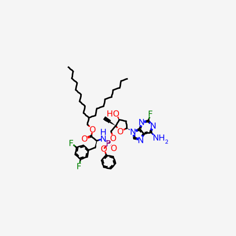 C#C[C@]1(CO[P@@](=O)(N[C@@H](Cc2cc(F)cc(F)c2)C(=O)OCC(CCCCCCCCC)CCCCCCCCC)Oc2ccccc2)O[C@@H](n2cnc3c(N)nc(F)nc32)C[C@@H]1O